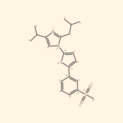 CC(C)Cc1nc(C(C)C)cn1-c1ccc(-c2cccc(S(C)(=O)=O)c2)s1